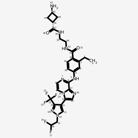 CCc1cc(Nc2nccn3c(-c4cn(CC(F)F)nc4C(F)(F)F)cnc23)ccc1C(=O)NCCNC(=O)[C@H]1C[C@H](N)C1